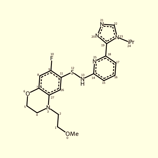 COCCN1CCOc2cc(F)c(SNc3cccc(-c4nncn4C(C)C)n3)cc21